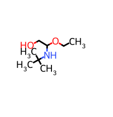 CCOC(CO)NC(C)(C)C